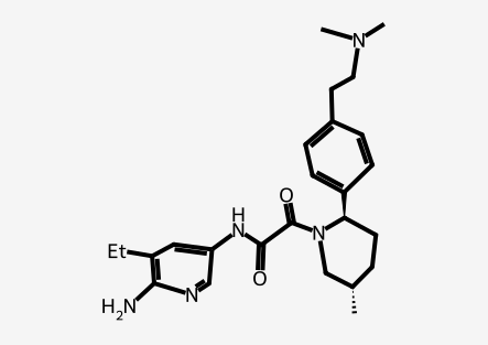 CCc1cc(NC(=O)C(=O)N2C[C@@H](C)CC[C@@H]2c2ccc(CCN(C)C)cc2)cnc1N